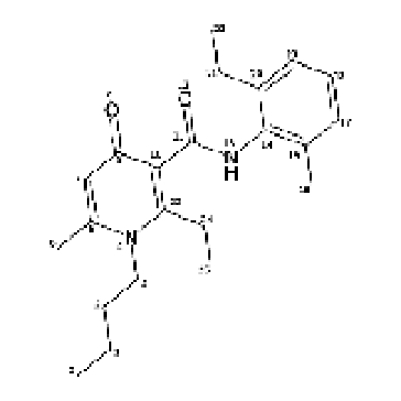 CCCCn1c(C)cc(=O)c(C(=O)Nc2c(C)cccc2CC)c1CC